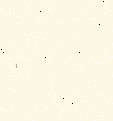 CCOc1cc(Cl)cc(CCCCCC(=O)CC)c1